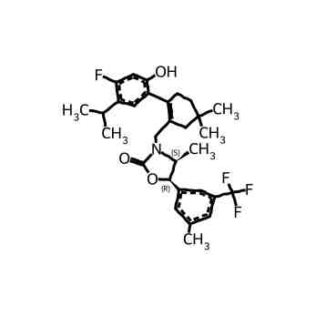 Cc1cc([C@H]2OC(=O)N(CC3=C(c4cc(C(C)C)c(F)cc4O)CCC(C)(C)C3)[C@H]2C)cc(C(F)(F)F)c1